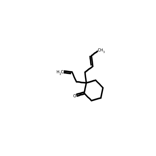 C=CCC1(CC=CC)CCCCC1=O